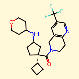 O=C(N1CCc2ncc(C(F)(F)F)cc2C1)[C@@]1(C2CCC2)CC[C@@H](NC2CCOCC2)C1